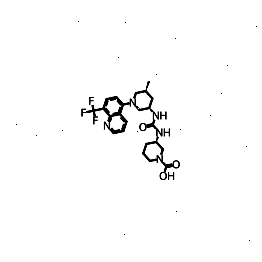 C[C@H]1C[C@@H](NC(=O)N[C@@H]2CCCN(C(=O)O)C2)CN(c2ccc(C(F)(F)F)c3ncccc23)C1